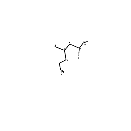 CCCC(F)CC(C)CCC(C)C